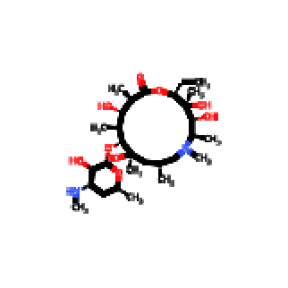 CC[C@H]1OC(=O)[C@H](C)[C@@H](O)[C@H](C)[C@@H](O[C@@H]2O[C@H](C)C[C@H](NC)[C@H]2O)[C@](C)(O)C[C@@H](C)CN(C)[C@H](C)[C@@H](O)[C@]1(C)O